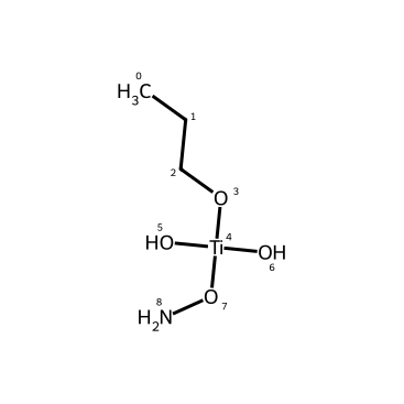 CCC[O][Ti]([OH])([OH])[O]N